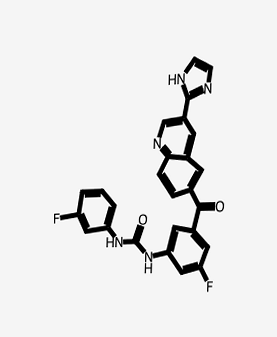 O=C(Nc1cccc(F)c1)Nc1cc(F)cc(C(=O)c2ccc3ncc(-c4ncc[nH]4)cc3c2)c1